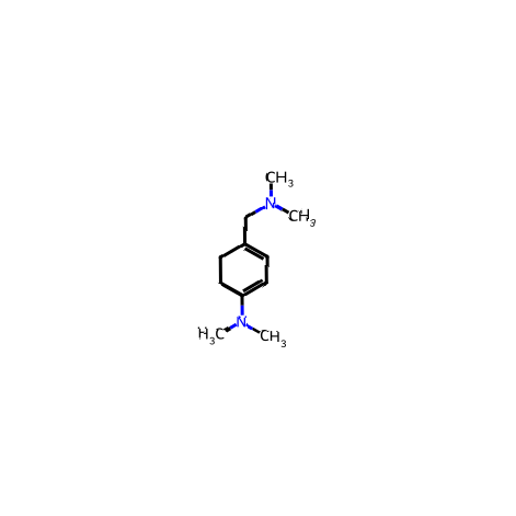 CN(C)CC1=CC=C(N(C)C)CC1